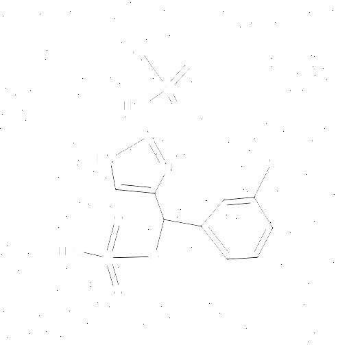 CS(=O)(=O)Cl.CS(=O)(=O)OC(c1cccc(Cl)c1)c1c[nH]nn1